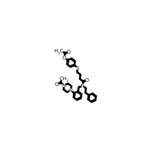 CC(=O)Oc1ccc(SCCCC(=O)N(CCc2ccccc2)Cc2ccccc2N2CCN(C(C)=O)CC2)cc1